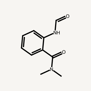 CN(C)C(=O)c1ccccc1NC=O